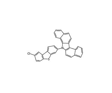 Clc1ccc2sc3cc(-n4c5ccc6ccccc6c5c5ccc6ccccc6c54)ccc3c2c1